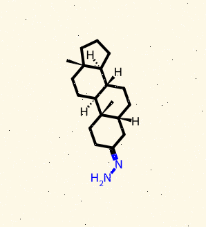 C[C@@]12CCC[C@H]1[C@@H]1CC[C@@H]3CC(=NN)CC[C@]3(C)[C@H]1CC2